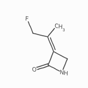 C/C(CF)=C1\CNC1=O